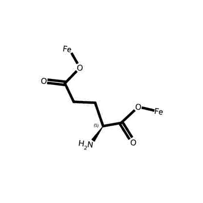 N[C@@H](CCC(=O)[O][Fe])C(=O)[O][Fe]